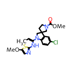 CC=C(Nc1ncc(OC)s1)N1CC2(CCN(C(=O)OC)C2)c2cc(Cl)ccc21